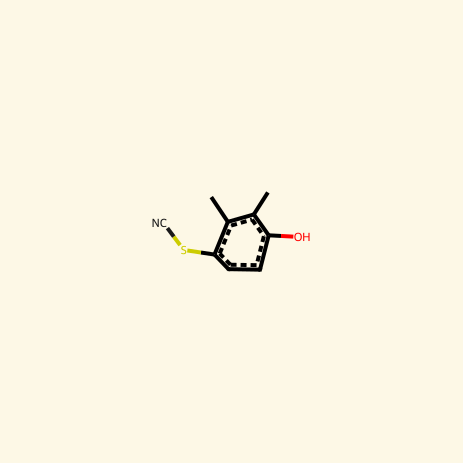 Cc1c(O)ccc(SC#N)c1C